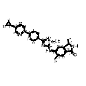 CCn1nc(-c2ccc(-c3ccc(C4CC4)cn3)nc2)nc1Nc1cc2c(cc1C)C(=O)NC2C